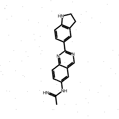 CC(=N)Nc1ccc2nc(-c3ccc4c(c3)CCN4)ncc2c1